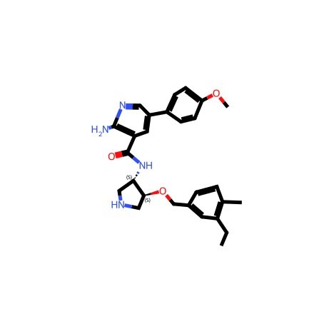 CCc1cc(CO[C@H]2CNC[C@@H]2NC(=O)c2cc(-c3ccc(OC)cc3)cnc2N)ccc1C